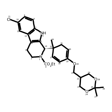 CCOC(=O)N1CCc2c([nH]c3ccc(Cl)cc23)[C@@H]1C1(C)C=CC(OCC2COC(C)(C)OC2)=CC1